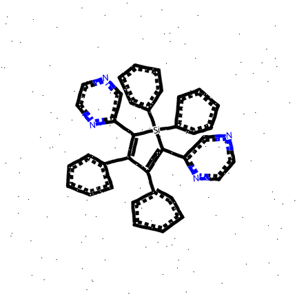 c1ccc(C2=C(c3cnccn3)[Si](c3ccccc3)(c3ccccc3)C(c3cnccn3)=C2c2ccccc2)cc1